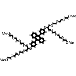 COCCOCCOCCOCC(COCCOCCOCCOC)Oc1ccc(-c2c3ccccc3c(-c3ccc(OC(COCCOCCOCCOC)COCCOCCOCCOC)cc3)c3ccccc23)cc1